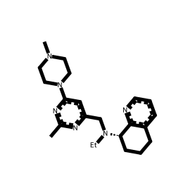 CCN(Cc1cc(N2CCN(C)CC2)nc(C)n1)[C@H]1CCCc2cccnc21